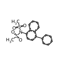 CS(=O)(=O)N(c1ccc(-c2ccccc2)c2ccccc12)S(C)(=O)=O